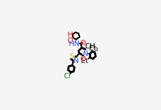 CCc1cccc(CC)c1-n1c(C)c(C(=O)NC2CCCCC2O)cc(-c2nc(-c3ccc(Cl)cc3)cs2)c1=O